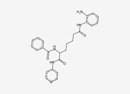 Nc1ccccc1NC(=O)CCCCC(NC(=O)c1ccccc1)C(=O)Nc1ccncc1